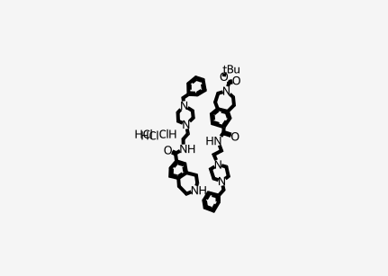 CC(C)(C)OC(=O)N1CCc2ccc(C(=O)NCCN3CCN(Cc4ccccc4)CC3)cc2CC1.Cl.Cl.Cl.O=C(NCCN1CCN(Cc2ccccc2)CC1)c1ccc2c(c1)CCNCC2